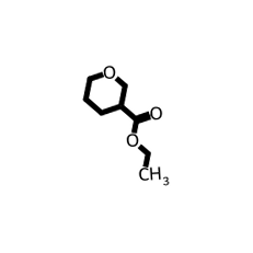 CCOC(=O)C1CCCOC1